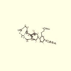 COCCc1cc(OC)ccc1-c1ccc2c(c1)CC1CCNCCN21